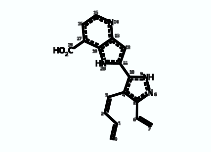 C=C/C=C\c1c(C=C)n[nH]c1-c1cc2nccc(C(=O)O)c2[nH]1